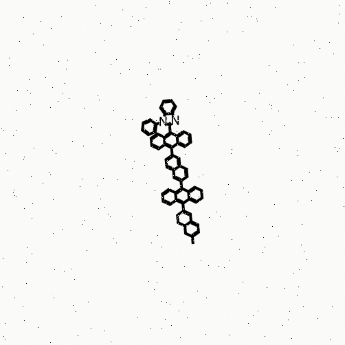 CC1=CC=C2C=C(c3c4c(c(-c5ccc6cc(-c7c8ccccc8c(-c8nc9ccccc9n8-c8ccccc8)c8ccccc78)ccc6c5)c5ccccc35)=CCCC=4)CCC2C1